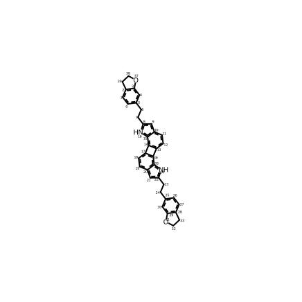 c1cc2c(cc1CCc1cc3ccc4c(c3[nH]1)-c1ccc3cc(CCc5ccc6c(c5)OCC6)[nH]c3c1-4)OCC2